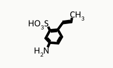 C/C=C/c1ccc(N)cc1S(=O)(=O)O